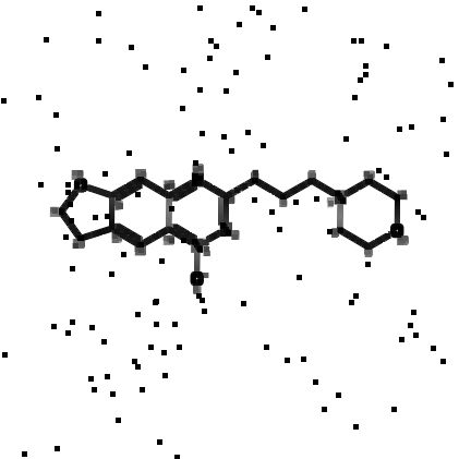 [O-][n+]1nc(CCCN2CCOCC2)nc2cc3c(cc21)CCO3